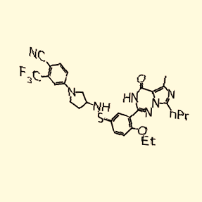 CCCc1nc(C)c2c(=O)[nH]c(-c3cc(SNC4CCN(c5ccc(C#N)c(C(F)(F)F)c5)C4)ccc3OCC)nn12